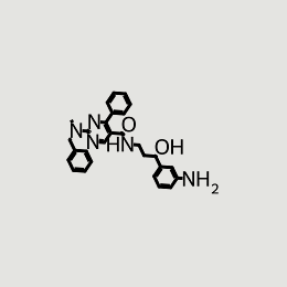 CN(Cc1ccccc1)c1ncc(C(=O)NCCC(O)c2cccc(N)c2)c(-c2ccccc2)n1